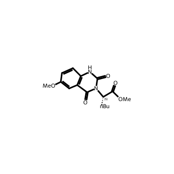 CCCC[C@@H](C(=O)OC)n1c(=O)[nH]c2ccc(OC)cc2c1=O